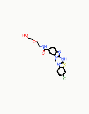 Cn1c(Nc2nc3ccc(Cl)cc3s2)nc2ccc(C(=O)NCCOCCO)cc21